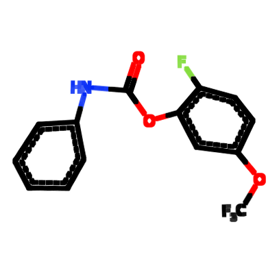 O=C(Nc1ccccc1)Oc1cc(OC(F)(F)F)ccc1F